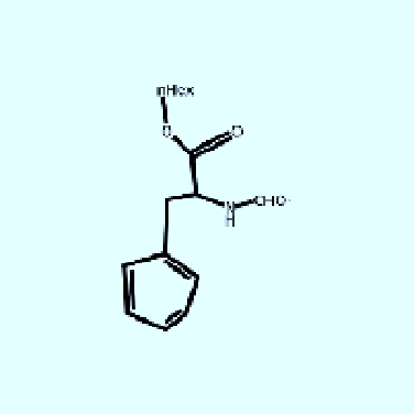 CCCCCCOC(=O)C(Cc1ccccc1)N[C]=O